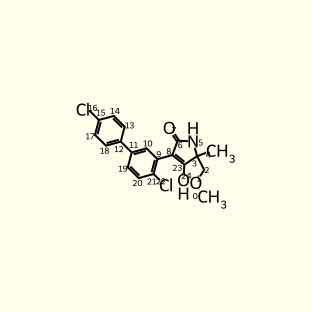 COCC1(C)NC(=O)C(c2cc(-c3ccc(Cl)cc3)ccc2Cl)=C1O